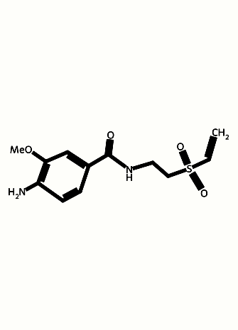 C=CS(=O)(=O)CCNC(=O)c1ccc(N)c(OC)c1